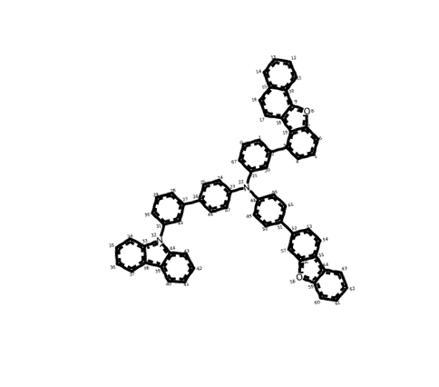 c1cc(-c2cccc3oc4c5ccccc5ccc4c23)cc(N(c2ccc(-c3cccc(-n4c5ccccc5c5ccccc54)c3)cc2)c2ccc(-c3ccc4c(c3)oc3ccccc34)cc2)c1